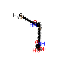 CSCCCCCCCCCCC(=O)Nc1cccc(SCCCCCCCCCCC(=O)Nc2cccc(B(O)O)c2)c1